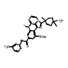 COc1cc(C(=O)Nc2cc(C(F)(F)F)ccn2)cc2c1-c1nc(C3(C)CCC(C)(C(=O)O)CC3)n3ccnc(c13)N2F